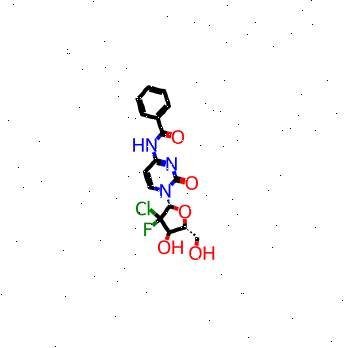 O=C(Nc1ccn([C@@H]2O[C@H](CO)C(O)C2(F)Cl)c(=O)n1)c1ccccc1